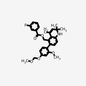 COCOc1ccc(-c2ccc3c(c2COC(=O)c2cccc(F)c2)C(C)=CC(C)(C)N3)c(OC)c1